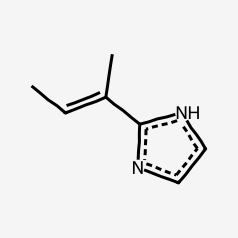 CC=C(C)c1ncc[nH]1